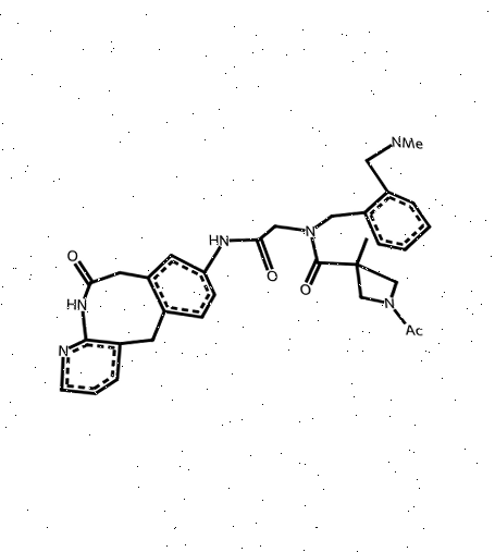 CNCc1ccccc1CN(CC(=O)Nc1ccc2c(c1)CC(=O)Nc1ncccc1C2)C(=O)C1(C)CN(C(C)=O)C1